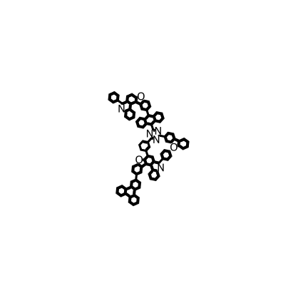 C1=C(c2nc(-c3ccc4c(c3)oc3ccccc34)nc(-c3c4ccccc4c(-c4ccc5oc6ccc7c(-c8ccccc8)nc8ccccc8c7c6c5c4)c4ccccc34)n2)C=C(c2cc3c(-c4ccccc4)nc4ccccc4c3c3c2oc2ccc(-c4ccc5c6ccccc6c6ccccc6c5c4)cc23)CC1